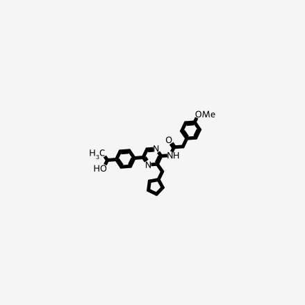 COc1ccc(CC(=O)Nc2ncc(-c3ccc(C(C)O)cc3)nc2CC2CCCC2)cc1